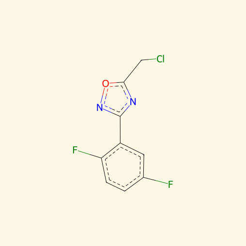 Fc1ccc(F)c(-c2noc(CCl)n2)c1